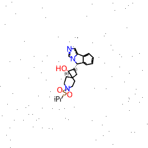 CC(C)S(=O)(=O)N1CCC2(CC1)C[C@@H](C1c3ccccc3-c3cncn31)[C@H]2O